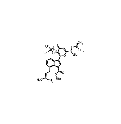 CC(C)=CCc1cccc2c(-c3oc(C(O[SiH](C)C)C(C)(C)C)cc(=O)c3O[Si](C)(C)C(C)(C)C)cn(C(=O)OC(C)(C)C)c12